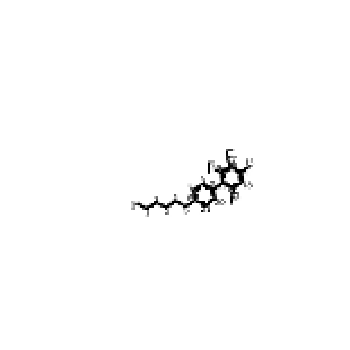 CCCCCCc1ccc(-c2c(F)cc(C)c(F)c2F)cc1